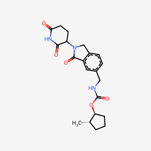 C[C@H]1CCC[C@@H]1OC(=O)NCc1ccc2c(c1)C(=O)N(C1CCC(=O)NC1=O)C2